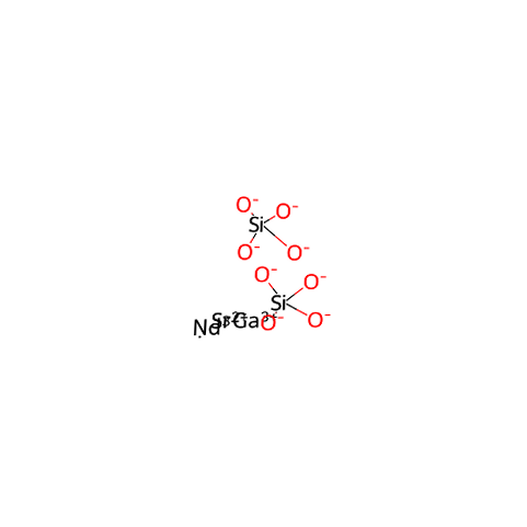 [Ga+3].[Nd+3].[O-][Si]([O-])([O-])[O-].[O-][Si]([O-])([O-])[O-].[Sr+2]